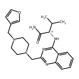 CC(C)[C@H](Nc1nc(CN2CCN(Cc3ccoc3)CC2)nc2ccccc12)C(N)=O